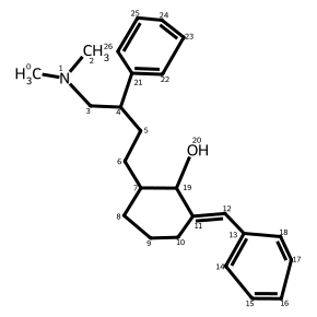 CN(C)CC(CCC1CCCC(=Cc2ccccc2)C1O)c1ccccc1